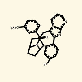 COc1cccc(C(=O)N2C3CCC2CN(Cc2c(-c4ccc(C(C)C)cc4)nc4ncccn24)C3)n1